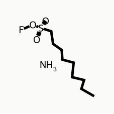 CCCCCCCCCS(=O)(=O)OF.N